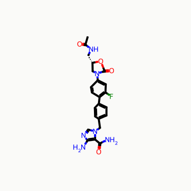 CC(=O)NC[C@H]1CN(c2ccc(-c3ccc(Cn4cnc(N)c4C(N)=O)cc3)c(F)c2)C(=O)O1